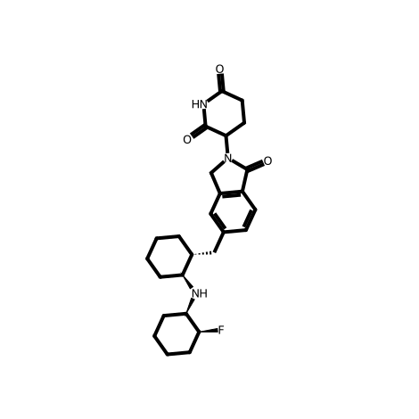 O=C1CCC(N2Cc3cc(C[C@H]4CCCC[C@@H]4N[C@@H]4CCCC[C@@H]4F)ccc3C2=O)C(=O)N1